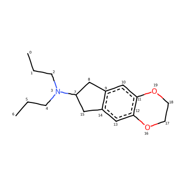 CCCN(CCC)C1Cc2cc3c(cc2C1)OCCO3